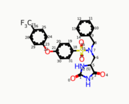 O=C1NC(=O)[C@H](CN(Cc2ccccc2)S(=O)(=O)c2ccc(Oc3ccc(C(F)(F)F)cc3)cc2)N1